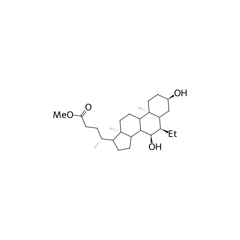 CC[C@@H]1C2C[C@H](O)CC[C@]2(C)C2CC[C@@]3(C)C(CCC3[C@H](C)CCC(=O)OC)C2[C@@H]1O